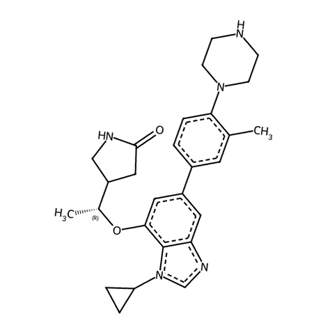 Cc1cc(-c2cc(O[C@H](C)C3CNC(=O)C3)c3c(c2)ncn3C2CC2)ccc1N1CCNCC1